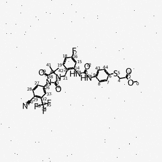 COC(=O)CSc1ccc(NC(=O)Nc2cc(F)ccc2CN2C(=O)N(c3ccc(C#N)c(C(F)(F)F)c3)C(=O)C2(C)C)cc1